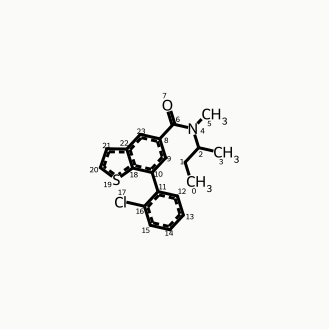 CCC(C)N(C)C(=O)c1cc(-c2ccccc2Cl)c2sccc2c1